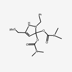 CSCC1=CC(OC(=O)N(C)C)(OC(=O)N(C)C)N(CC(C)C)N1